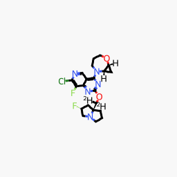 [2H]C([2H])(Oc1nc(N2CCCO[C@@H]3C[C@@H]32)c2cnc(Cl)c(F)c2n1)[C@@]12CCCN1C[C@H](F)C2